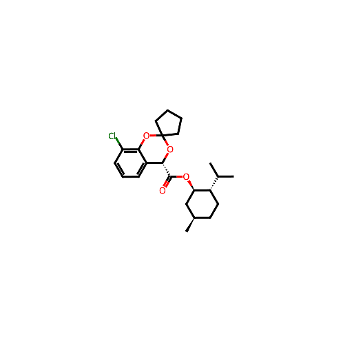 CC(C)[C@@H]1CC[C@@H](C)C[C@H]1OC(=O)[C@H]1OC2(CCCC2)Oc2c(Cl)cccc21